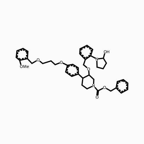 COc1ccccc1COCCCOc1ccc(C2CCN(C(=O)OCc3ccccc3)CC2OCc2ccccc2N2CCCC2O)cc1